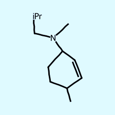 CC(C)CN(C)C1C=CC(C)CC1